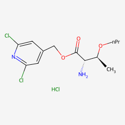 CCCO[C@@H](C)[C@H](N)C(=O)OCc1cc(Cl)nc(Cl)c1.Cl